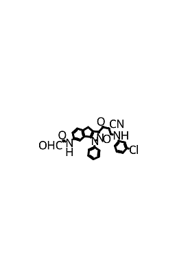 N#CC(C(=O)Nc1cccc(Cl)c1)C(=O)c1nn(-c2ccccc2)c2c1Cc1ccc(NC(=O)C=O)cc1-2